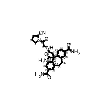 N#C[C@@H]1CCCN1C(=O)CNCCC1(C(N)=O)c2ccc(C(N)=O)cc2CCc2cc(C(N)=O)ccc21